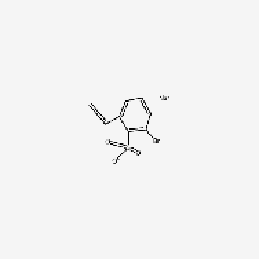 C=Cc1cccc(Br)c1S(=O)(=O)[O-].[Na+]